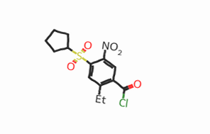 CCc1cc(S(=O)(=O)C2CCCC2)c([N+](=O)[O-])cc1C(=O)Cl